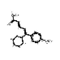 COC(=O)C=CC=C(c1ccc(OC)cc1)C1CCCCC1